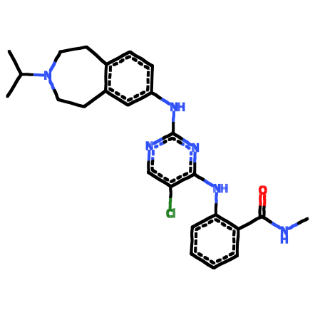 CNC(=O)c1ccccc1Nc1nc(Nc2ccc3c(c2)CCN(C(C)C)CC3)ncc1Cl